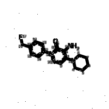 Nc1c(N2CCCCC2)cnn(-c2ccc(CF)cc2)c1=O